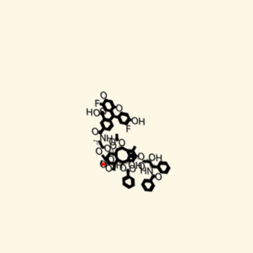 CC(=O)O[C@H]1C(=O)[C@]2(C)[C@@H](OC(=O)[C@H](C)NC(=O)c3ccc(-c4c5cc(F)c(=O)cc-5oc5cc(O)c(F)cc45)c(C(=O)O)c3)C[C@H]3OC[C@@]3(OC(C)=O)[C@H]2[C@H](OC(=O)c2ccccc2)[C@]2(O)C[C@H](OC(=O)[C@H](O)[C@@H](NC(=O)c3ccccc3)c3ccccc3)C(C)=C1C2(C)C